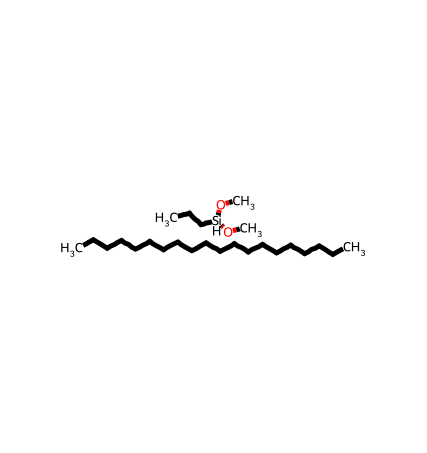 CCCCCCCCCCCCCCCCCCCC.CCC[SiH](OC)OC